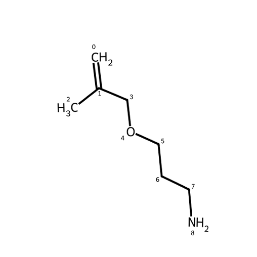 C=C(C)COCCCN